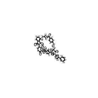 CS(=O)(=O)n1ccc(C(=O)N[C@@H](COCc2ccc(C(=O)N3CC(COc4cccc5c4C(=O)N(C4CCC(=O)NC4=O)C5=O)C3)cc2)C(=O)Nc2nc(-c3ccccc3)cs2)c1